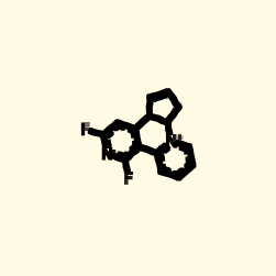 Fc1cc2c(c(F)n1)-c1cccc[n+]1C1CC=CC21